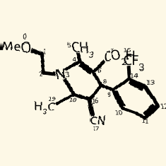 COCCN1C(C)=C(C(=O)O)C(c2ccccc2C(F)(F)F)C(C#N)C1C